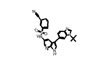 CC(C)(C)n1cnc2ccc(-c3c[nH]c4ncc(NS(=O)(=O)c5cccc(C#N)c5)cc34)cc21